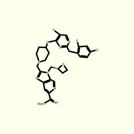 COC(=N)c1cc2nc(CN3CCC(Oc4nc(Cc5ccc(Cl)cc5F)ncc4F)CC3)n(C[C@@H]3CCO3)c2cn1